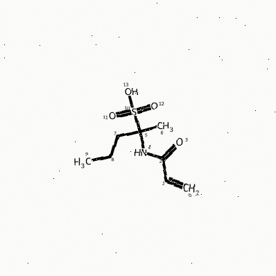 C=CC(=O)NC(C)(CCC)S(=O)(=O)O